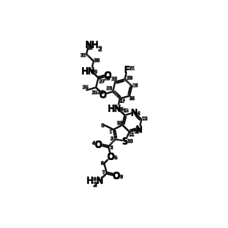 Cc1c(C(=O)OCC(N)=O)sc2ncnc(Nc3ccc(F)cc3OC(C)C(=O)NCCN)c12